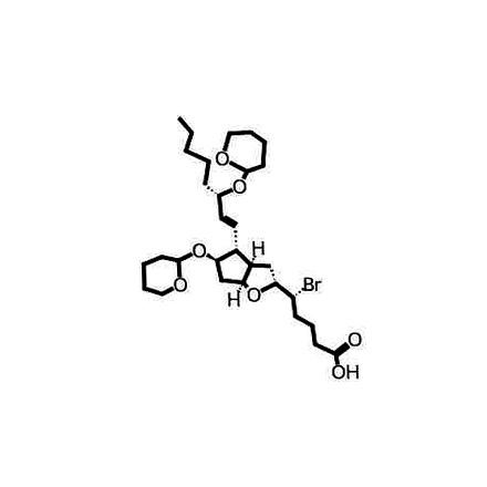 CCCCC[C@@H](/C=C/[C@@H]1[C@H]2C[C@H]([C@H](Br)CCCC(=O)O)O[C@H]2C[C@H]1OC1CCCCO1)OC1CCCCO1